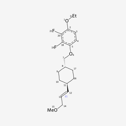 CCOc1ccc(OC[C@H]2CC[C@H](/C=C/COC)CC2)c(F)c1F